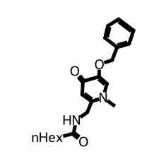 CCCCCCC(=O)NCc1cc(=O)c(OCc2ccccc2)cn1C